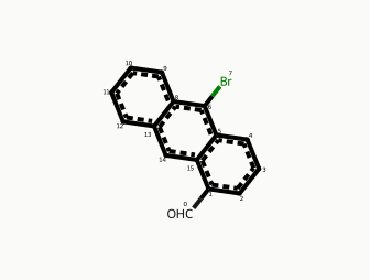 O=Cc1cccc2c(Br)c3ccccc3cc12